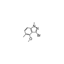 COc1c(C)ccc2c1c(Br)nn2C